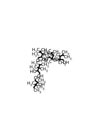 CC(C(O)CO)C(C)(C)C.CC(C)(C)CC(C)(O)CO.CC(C)C(C)(C)C(O)CO.CC(C)C(C)C(C)(O)CO.CCC(C)(C)C(C)(O)CO